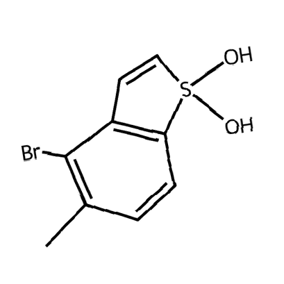 Cc1ccc2c(c1Br)C=CS2(O)O